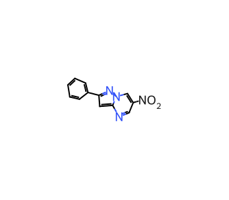 O=[N+]([O-])c1cnc2cc(-c3ccccc3)nn2c1